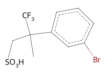 CC(CS(=O)(=O)O)(c1cccc(Br)c1)C(F)(F)F